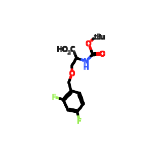 CC(C)(C)OC(=O)NC(COCc1ccc(F)cc1F)C(=O)O